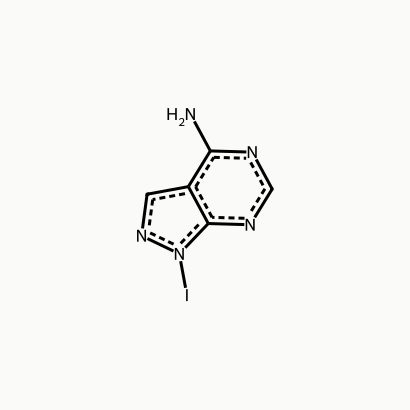 Nc1ncnc2c1cnn2I